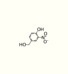 O=[N+]([O-])c1cc(CO)ccc1O